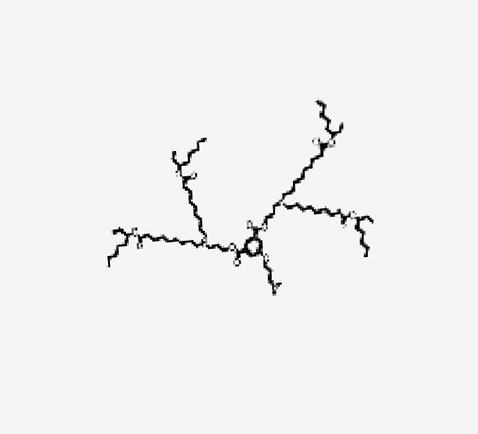 CCCCCC(CC)OC(=O)CCCCCCCCN(CCCCCCCCC(=O)OC(CC)CCCCC)CCCOC(=O)c1cc(OCCCN(C)C)cc(C(=O)OCCCN(CCCCCCCCC(=O)OC(CC)CCCCC)CCCCCCCCC(=O)OC(CC)CCCCC)c1